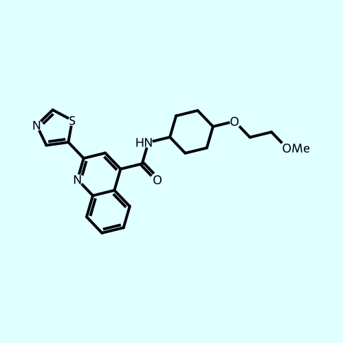 COCCOC1CCC(NC(=O)c2cc(-c3cncs3)nc3ccccc23)CC1